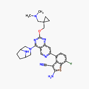 CN(C)CC1(COc2nc(N3CC4CCC(C3)N4)c3cnc(-c4ccc(F)c5sc(N)c(C#N)c45)cc3n2)CC1